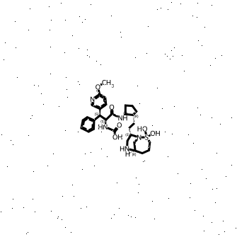 COc1ccc([C@H](c2ccccc2)[C@H](NC(=O)O)C(=O)N[C@H]2CCC[C@@H]2CC[C@H]2CN[C@@H]3CCCS(O)(O)N2C3)cn1